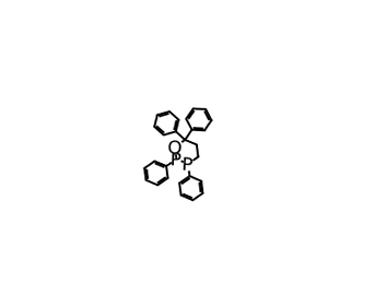 c1ccc(P2CCC(c3ccccc3)(c3ccccc3)OP2c2ccccc2)cc1